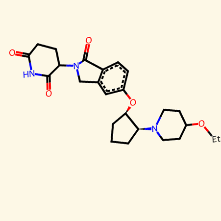 CCOC1CCN([C@H]2CCC[C@H]2Oc2ccc3c(c2)CN(C2CCC(=O)NC2=O)C3=O)CC1